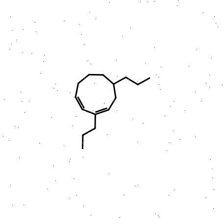 CCCC1=C/CC(CCC)CCC/[C]=C\1